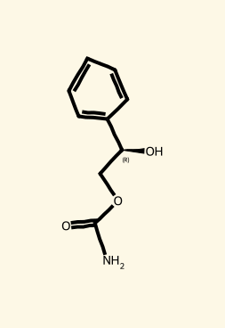 NC(=O)OC[C@H](O)c1ccccc1